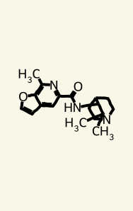 Cc1nc(C(=O)NC2C3CCN(CC3)C2(C)C)cc2ccoc12